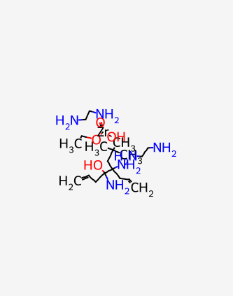 C=CCC(N)(O)C(N)(CC=C)CC(C)(C)C.CC[O][Zr](=[O])[OH].NCCN.NCCN